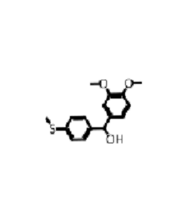 COc1ccc(C(O)c2ccc(SC)cc2)cc1OC